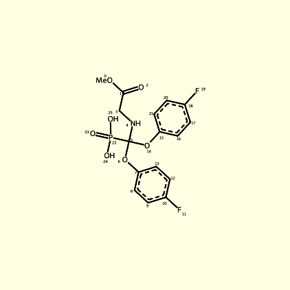 COC(=O)CNC(Oc1ccc(F)cc1)(Oc1ccc(F)cc1)P(=O)(O)O